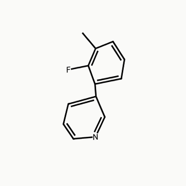 Cc1cccc(-c2cccnc2)c1F